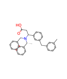 Cc1cccc(Cc2cccc(C(CC(=O)O)N(Cc3ccccc3)[C@H](C)c3ccccc3)c2)c1